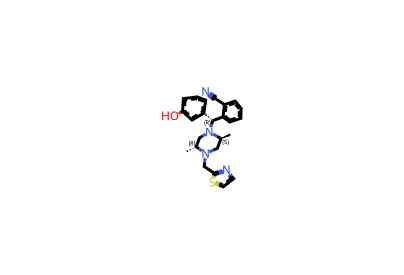 C[C@@H]1CN([C@H](c2cccc(O)c2)c2ccccc2C#N)[C@@H](C)CN1Cc1nccs1